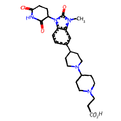 Cn1c(=O)n(C2CCC(=O)NC2=O)c2ccc(C3CCN(C4CCN(CCC(=O)O)CC4)CC3)cc21